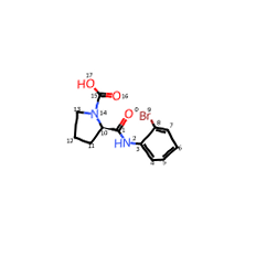 O=C(Nc1ccccc1Br)[C@H]1CCCN1C(=O)O